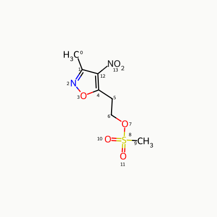 Cc1noc(CCOS(C)(=O)=O)c1[N+](=O)[O-]